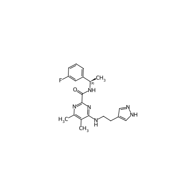 Cc1nc(C(=O)N[C@H](C)c2cccc(F)c2)nc(NCCc2cn[nH]c2)c1C